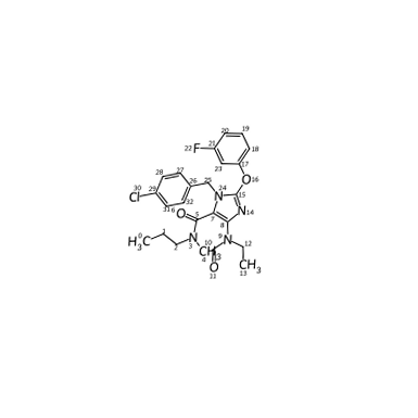 CCCN(C)C(=O)c1c(N(C=O)CC)nc(Oc2cccc(F)c2)n1Cc1ccc(Cl)cc1